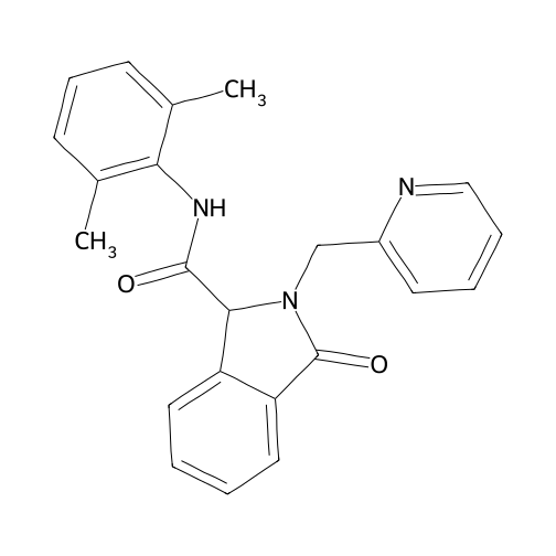 Cc1cccc(C)c1NC(=O)C1c2ccccc2C(=O)N1Cc1ccccn1